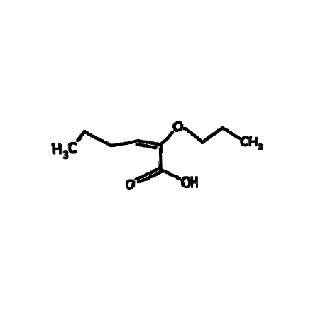 CCC/C=C(/OCCC)C(=O)O